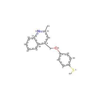 CSc1ccc(OCc2cc(C)nc3ccccc23)cc1